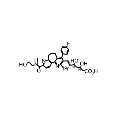 CC(C)c1nc2c(c(-c3ccc(F)cc3)c1/C=C/[C@@H](O)C[C@@H](O)CC(=O)O)CCCc1nc(C(=O)NCCO)ccc1-2